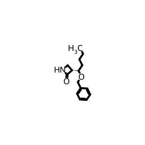 CCCCC(OCc1ccccc1)[C@H]1CNC1=O